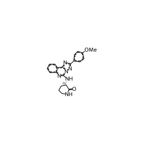 COc1ccc(-c2nc3c4ccccc4nc(N[C@H]4CCCNC4=O)n3n2)cc1